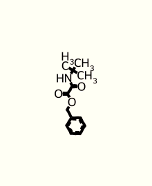 CC(C)(C)NC(=O)C(=O)OCc1ccccc1